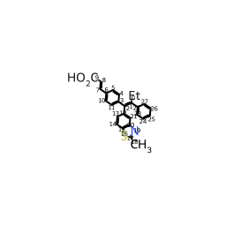 CCC(=C(c1ccc(C=CC(=O)O)cc1)c1ccc2sc(C)nc2c1)c1ccccc1